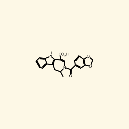 CC1Cc2c([nH]c3ccccc23)C(C(=O)O)=CN1C(=O)c1ccc2c(c1)OCO2